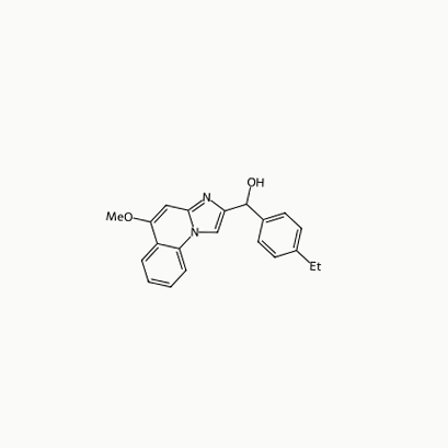 CCc1ccc(C(O)c2cn3c(cc(OC)c4ccccc43)n2)cc1